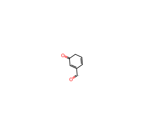 O=[C]C1=CC(=O)CC=C1